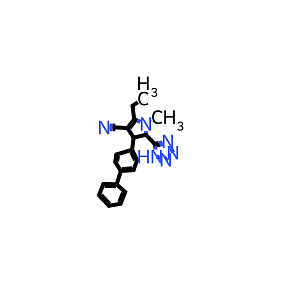 CCC1=C(C#N)C(c2ccc(-c3ccccc3)cc2)C(c2nnn[nH]2)N1C